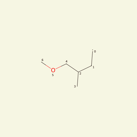 [CH2]CC(C)COC